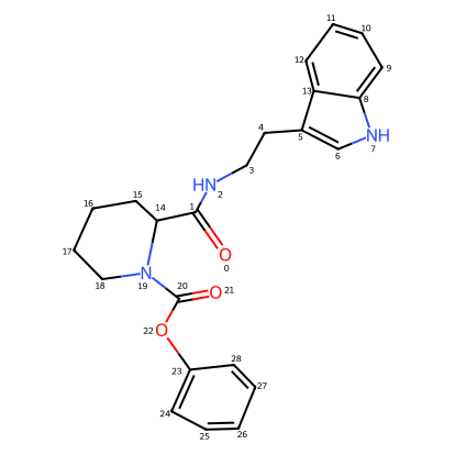 O=C(NCCc1c[nH]c2ccccc12)C1CCCCN1C(=O)Oc1ccccc1